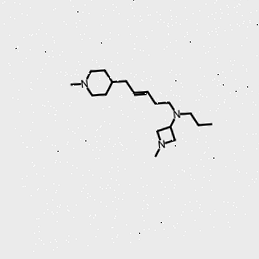 CCCN(CC/C=C/CC1CCN(C)CC1)C1CN(C)C1